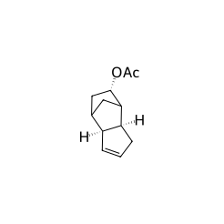 CC(=O)O[C@H]1CC2CC1[C@H]1CC=C[C@@H]21